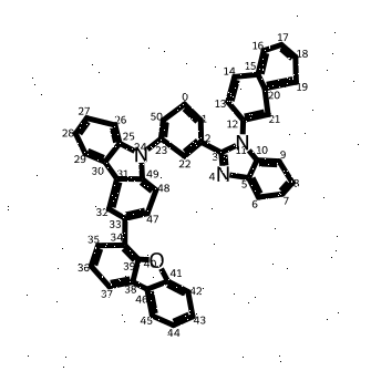 c1cc(-c2nc3ccccc3n2-c2ccc3ccccc3c2)cc(-n2c3ccccc3c3cc(-c4cccc5c4oc4ccccc45)ccc32)c1